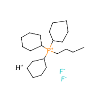 CCCC[P+](C1CCCCC1)(C1CCCCC1)C1CCCCC1.[F-].[F-].[H+]